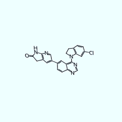 O=C1Cc2cc(-c3ccc4ncnc(N5CCc6ccc(Cl)cc65)c4c3)cnc2N1